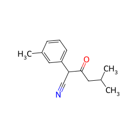 Cc1cccc(C(C#N)C(=O)CC(C)C)c1